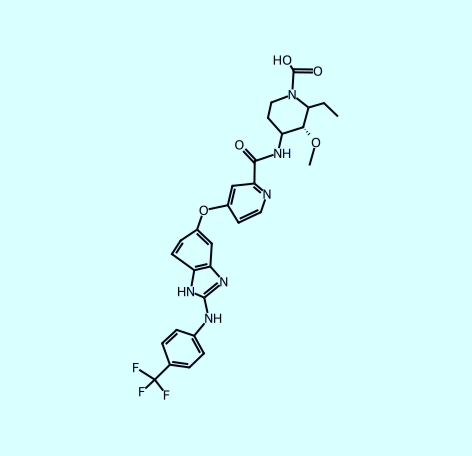 CCC1[C@H](OC)C(NC(=O)c2cc(Oc3ccc4[nH]c(Nc5ccc(C(F)(F)F)cc5)nc4c3)ccn2)CCN1C(=O)O